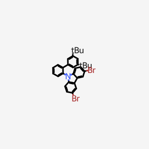 CC(C)(C)c1cc(-c2ccccc2-n2c3ccc(Br)cc3c3cc(Br)ccc32)cc(C(C)(C)C)c1